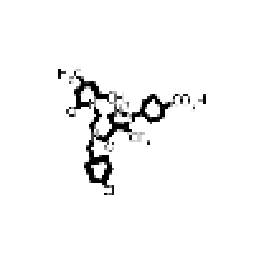 Cc1cc(C)n(CCN(Cc2ccc(Cl)cc2)C(=O)c2cnn(C3CCC(C(=O)O)CC3)c2C(F)(F)F)c(=O)c1